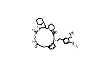 COc1ccc(CC[C@H]2OC(=O)[C@@H]3CCCCN3C(=O)[C@@H](C3CCCCC3)NC(=O)CCNC(=O)COc3cccc2c3)cc1OC